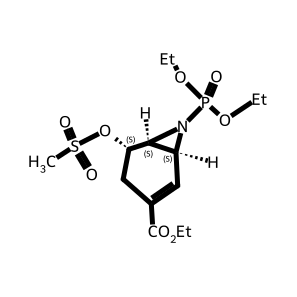 CCOC(=O)C1=C[C@H]2[C@@H]([C@@H](OS(C)(=O)=O)C1)N2P(=O)(OCC)OCC